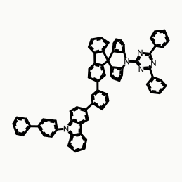 c1ccc(-c2ccc(-n3c4ccccc4c4cc(-c5cccc(-c6ccc7c(c6)C6(c8ccccc8-7)c7ccccc7N(c7nc(-c8ccccc8)nc(-c8ccccc8)n7)c7ccccc76)c5)ccc43)cc2)cc1